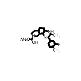 COC(O)N1CCc2ccc(NC(C)Cc3ccc(C)c(F)c3)c(N)c2C1